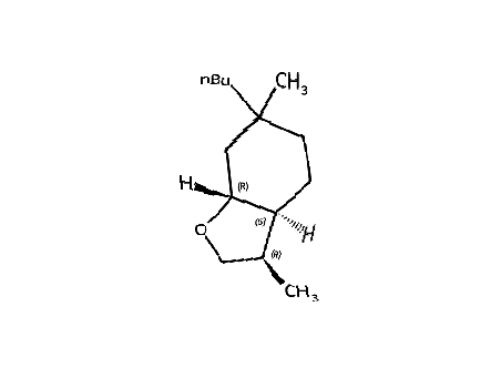 CCCCC1(C)CC[C@H]2[C@@H](C)CO[C@@H]2C1